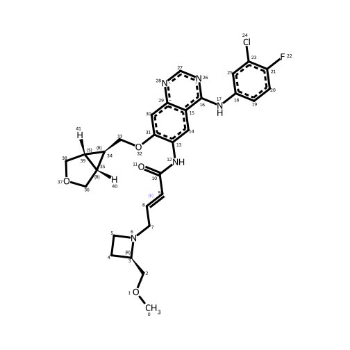 COC[C@H]1CCN1C/C=C/C(=O)Nc1cc2c(Nc3ccc(F)c(Cl)c3)ncnc2cc1OC[C@H]1[C@@H]2COC[C@@H]21